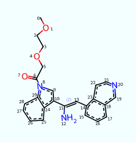 COCCOCC(=O)n1cc(/C(N)=C/c2cccc3cnccc23)c2ccccc21